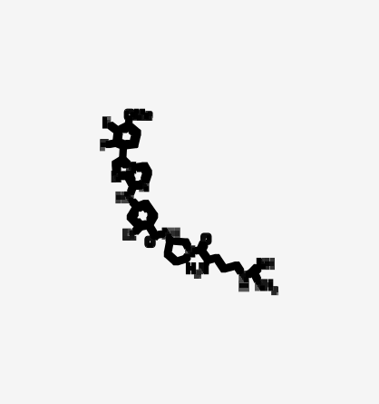 CCc1cc(Nc2nccn3c(-c4ccc(OC)c(F)c4F)cnc23)ccc1C(=O)NC1CCCN(C(=O)[C@@H](N)CCCNC(=N)N)C1